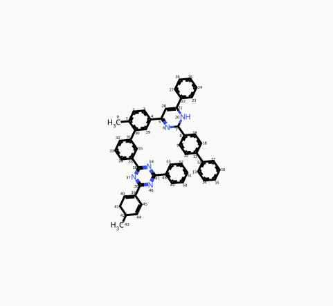 Cc1ccc(C2=NC(c3ccc(-c4ccccc4)cc3)NC(c3ccccc3)=C2)cc1-c1cccc(-c2nc(C3=CCC(C)C=C3)nc(-c3ccccc3)n2)c1